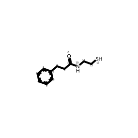 O=C(CCc1ccccc1)NCCS